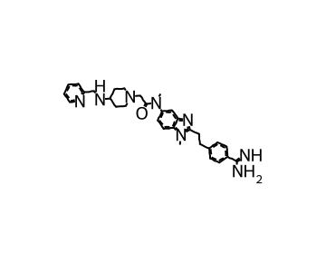 CN(C(=O)CN1CCC(NCc2ccccn2)CC1)c1ccc2c(c1)nc(CCc1ccc(C(=N)N)cc1)n2C